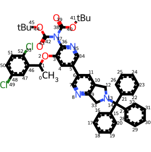 CC(Oc1cc(-c2cnc3c(c2)CN(C(c2ccccc2)(c2ccccc2)c2ccccc2)C3)cnc1N(C(=O)OC(C)(C)C)C(=O)OC(C)(C)C)c1cc(Cl)ccc1Cl